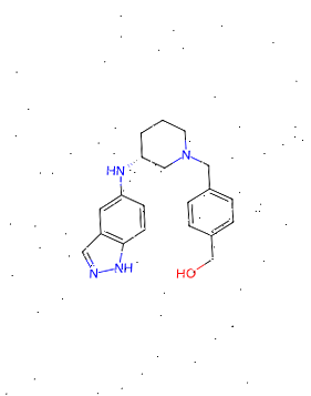 OCc1ccc(CN2CCC[C@@H](Nc3ccc4[nH]ncc4c3)C2)cc1